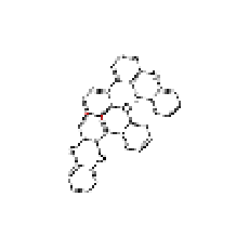 c1ccc(-c2cccc3c2Sc2ccccc2S3)c(Oc2ccccc2-c2cccc3c2Sc2ccccc2S3)c1